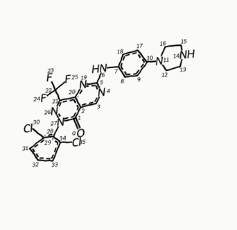 O=c1c2cnc(Nc3ccc(N4CCNCC4)cc3)nc2c(C(F)(F)F)nn1-c1c(Cl)cccc1Cl